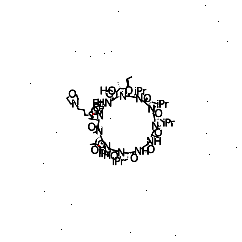 C/C=C/C[C@@H](C)[C@@H](O)[C@H]1C(=O)N[C@@H](CC)C(=O)N(C)[C@H](C[S+]([O-])CCCN2CCOCC2)C(=O)N(C)[C@@H](CC(C)(C)O)C(=O)N[C@@H](C(C)C)C(=O)N(C)[C@@H](CC(C)C)C(=O)N[C@@H](C)C(=O)N[C@H](C)C(=O)N(C)[C@@H](CC(C)C)C(=O)N(C)[C@@H](CC(C)C)C(=O)N(C)[C@@H](C(C)C)C(=O)N1C